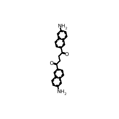 Nc1ccc2cc(C(=O)CCC(=O)c3ccc4cc(N)ccc4c3)ccc2c1